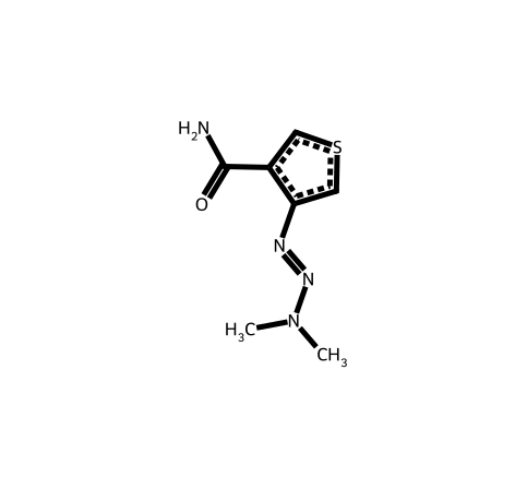 CN(C)N=Nc1cscc1C(N)=O